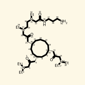 CCN(CC)CC(=O)C[C@H]1CC[C@@H](CC(=O)CN(CC)CC)CCCC[C@@H](CC(=O)CN(CC)CCN(CC)CC(=O)NCCCN)CC1